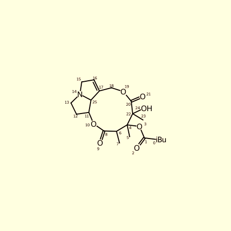 CCC(C)C(=O)OC1(C)C(C)C(=O)OC2CCN3CC=C(COC(=O)C1(C)O)C23